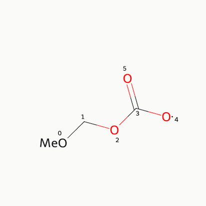 COCOC([O])=O